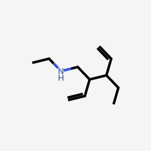 C=CC(CC)C(C=C)CNCC